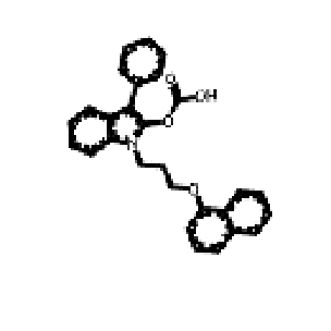 O=C(O)Oc1c(-c2ccccc2)c2ccccc2n1CCCOc1cccc2ccccc12